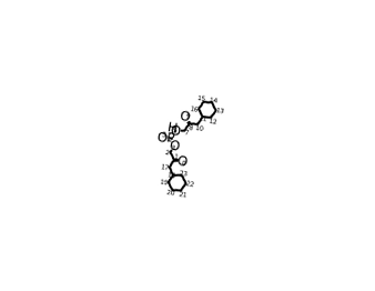 O=C(CO[PH](=O)OCC(=O)CC1CCCCC1)CC1CCCCC1